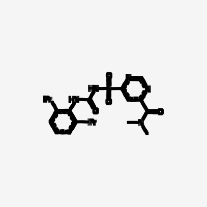 CC(C)c1cccc(C(C)C)c1NC(=O)NS(=O)(=O)c1cc(C(=O)N(C)C)ncn1